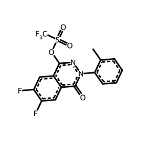 Cc1ccccc1-n1nc(OS(=O)(=O)C(F)(F)F)c2cc(F)c(F)cc2c1=O